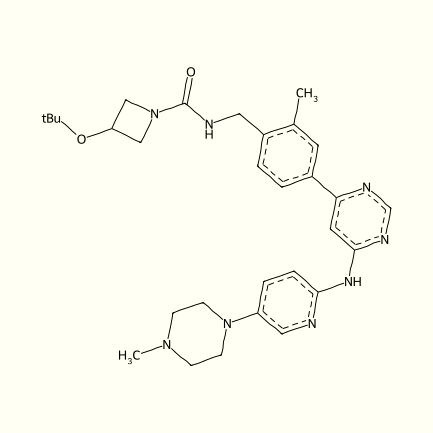 Cc1cc(-c2cc(Nc3ccc(N4CCN(C)CC4)cn3)ncn2)ccc1CNC(=O)N1CC(OC(C)(C)C)C1